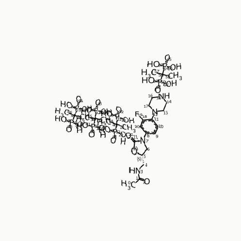 CC(=O)NC[C@H]1CN(c2ccc(N3CCNCC3)c(F)c2)C(=O)O1.CC(C)(P(=O)(O)O)P(=O)(O)O.CC(C)(P(=O)(O)O)P(=O)(O)O.CC(C)(P(=O)(O)O)P(=O)(O)O.CC(C)(P(=O)(O)O)P(=O)(O)O